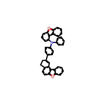 C1=C(c2ccc(N(c3ccccc3)c3cccc4oc5ccccc5c34)cc2)CCc2ccc3oc4ccccc4c3c21